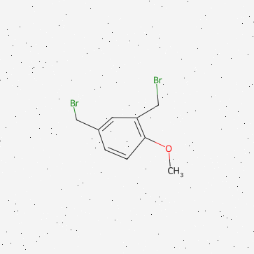 COc1ccc(CBr)cc1CBr